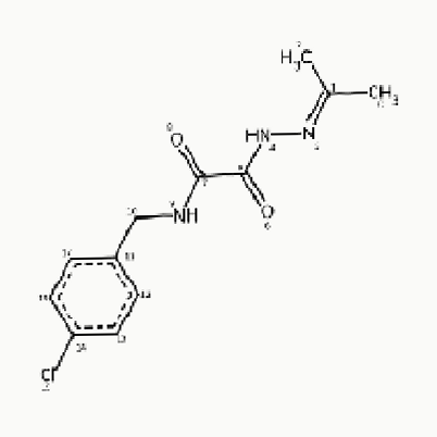 CC(C)=NNC(=O)C(=O)NCc1ccc(Cl)cc1